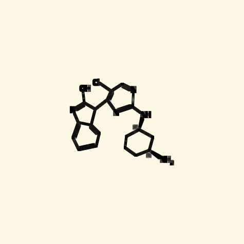 N[C@H]1CCC[C@@H](Nc2ncc(Cl)c(C3C(O)=Nc4ccccc43)n2)C1